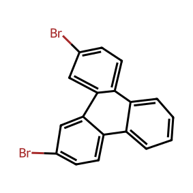 Brc1ccc2c3ccccc3c3ccc(Br)cc3c2c1